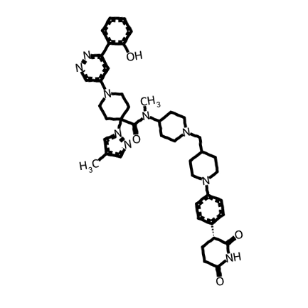 Cc1cnn(C2(C(=O)N(C)C3CCN(CC4CCN(c5ccc([C@H]6CCC(=O)NC6=O)cc5)CC4)CC3)CCN(c3cnnc(-c4ccccc4O)c3)CC2)c1